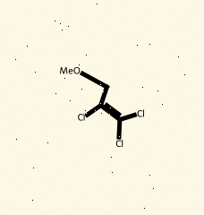 CO[CH]C(Cl)=C(Cl)Cl